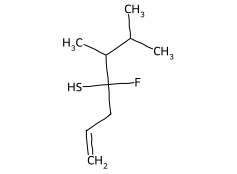 C=CCC(F)(S)C(C)C(C)C